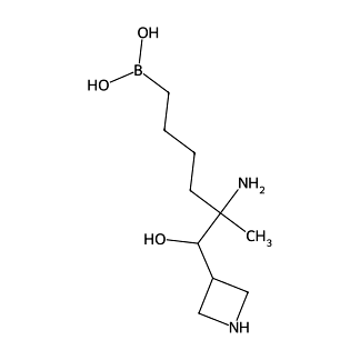 CC(N)(CCCCB(O)O)C(O)C1CNC1